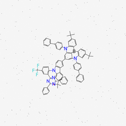 CC(C)(C)c1ccc2c(c1)N(c1ccc(-c3ccccc3)cc1)c1cc(-c3ccc4c(c3)c3ccc(C(C)(C)C)cc3n4-c3ccc(C(F)(F)F)cc3-c3nc(-c4ccccc4)nc(-c4ccccc4)n3)cc3c1B2c1ccc(C(C)(C)C)cc1N3c1ccc(-c2ccccc2)cc1